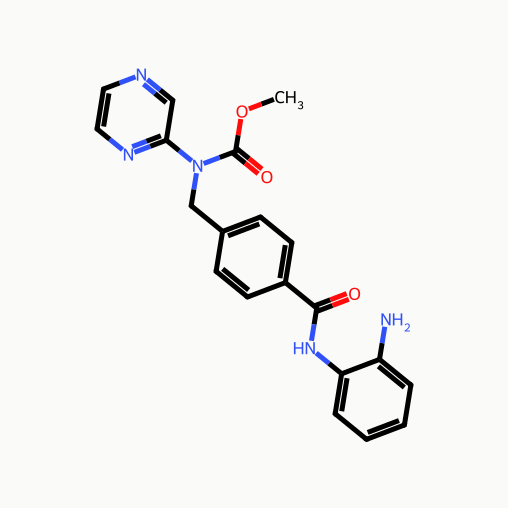 COC(=O)N(Cc1ccc(C(=O)Nc2ccccc2N)cc1)c1cnccn1